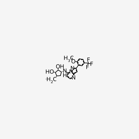 [CH2][C@@H]1C[C@@H](Nc2ccnc3cc(-c4cc(C(F)(F)F)ccc4OC)nn23)[C@H](O)[C@@H]1O